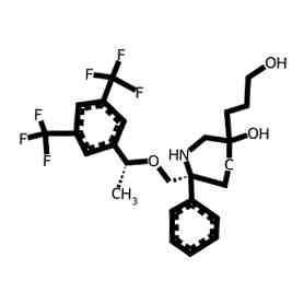 C[C@@H](OC[C@@]1(c2ccccc2)CCC(O)(CCCO)CN1)c1cc(C(F)(F)F)cc(C(F)(F)F)c1